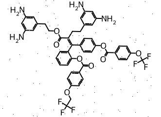 Nc1cc(N)cc(CCOC(=O)/C(CCc2cc(N)cc(N)c2)=C(/c2ccc(OC(=O)c3ccc(OC(F)(F)F)cc3)cc2)c2ccccc2OC(=O)c2ccc(OCC(F)(F)F)cc2)c1